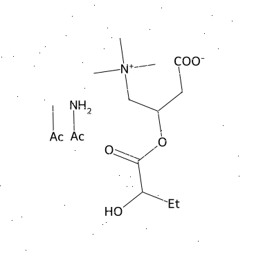 CC(C)=O.CC(N)=O.CCC(O)C(=O)OC(CC(=O)[O-])C[N+](C)(C)C